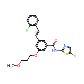 COCCCOc1cc(/C=C/c2ccccc2F)cc(C(=O)Nc2ncc(F)s2)c1